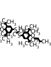 CCCCOc1c(C(C)(C)C)cc(SC(C)(C)Sc2cc(C(C)(C)C)c(O)c(C(C)(C)C)c2)cc1C(C)(C)C